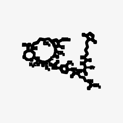 COc1cc2cc(c1Cl)N(C)C(=O)C[C@H](OC(=O)Nc1ccc(NC(=O)[C@H](CCCNC(N)=O)NC(=O)[C@@H](NC(=S)NCCCCN3C(=O)C=CC3=O)C(C)C)c(C(F)(F)F)c1)[C@]1(C)O[C@H]1[C@H](C)[C@@H]1C[C@@](O)(NCOCO1)[C@H](OC)/C=C/C=C(\C)C2